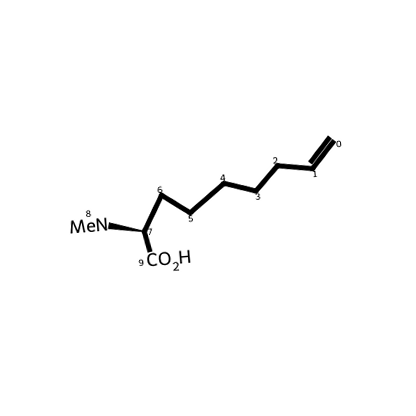 C=CCCCCC[C@H](NC)C(=O)O